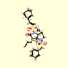 CCC[C@H]1C(=O)N(S(=O)(=O)C=Cc2ccccc2)[C@H]2CCN(S(=O)(=O)Cc3ccccc3)[C@H]12